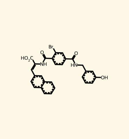 O=C(O)C(=Cc1ccc2ccccc2c1)NC(=O)c1ccc(C(=O)NCc2cccc(O)c2)cc1Br